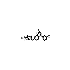 CCC(O)(c1cn(Cc2ccc3c(-c4cccc(Cl)c4)cc(=O)oc3c2)nn1)C(F)(F)F